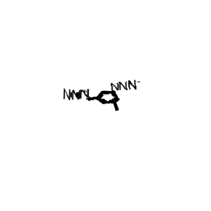 Cc1cc(CN=[N+]=[N-])cc(N=[N+]=[N-])c1